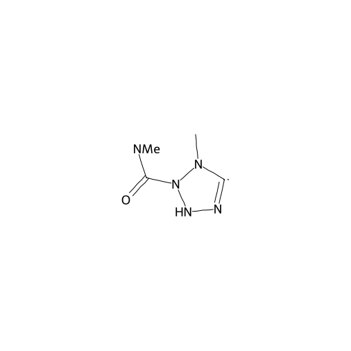 CNC(=O)N1NN=[C]N1C